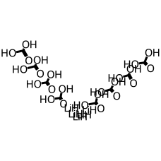 O=C(O)O.O=C(O)O.O=C(O)O.O=C(O)O.O=C(O)O.O=C(O)O.O=C(O)O.O=C(O)O.[LiH].[LiH].[LiH].[LiH].[LiH]